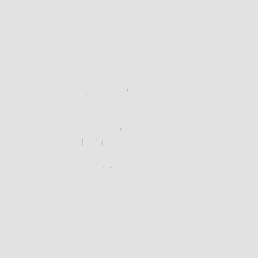 CC(OCC1CCCCC1)O[SiH2]Oc1ccccc1